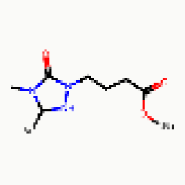 CC(=O)C1NN(CCCC(=O)OC(C)(C)C)C(=O)N1C